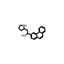 OC(CC1CCCN1)c1ccc2ccc3ccccc3c2c1